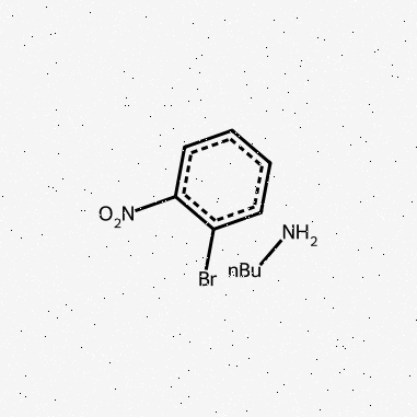 CCCCN.O=[N+]([O-])c1ccccc1Br